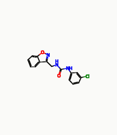 O=C(NCc1noc2ccccc12)Nc1cccc(Cl)c1